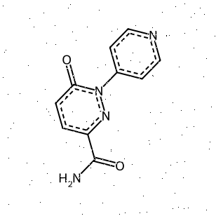 NC(=O)c1ccc(=O)n(-c2ccncc2)n1